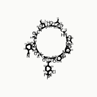 CC[C@H](C)[C@@H]1NC(=O)[C@H](CC(C)C)N(C)C(=O)C[C@@H](C)NC(=O)[C@H](C(C)C)N(C)C(=O)C2(CCCC2)NC(=O)[C@@H]2CCCN2C(=O)[C@H](CCc2ccc(C(F)(F)F)c(Cl)c2)NC(=O)CN(C)C(=O)[C@H](Cc2ccccc2C#N)N(C)C(=O)CN(C)C(=O)CN(C)C1=O